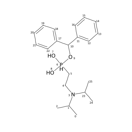 CC(C)N(CC[PH](O)(O)OC(c1ccccc1)c1ccccc1)C(C)C